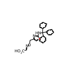 O=C(O)C=NOCc1csc(NC(c2ccccc2)(c2ccccc2)c2ccccc2)n1